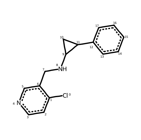 Clc1ccncc1CNC1CC1c1ccccc1